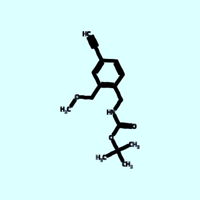 C#Cc1ccc(CNC(=O)OC(C)(C)C)c(COC)c1